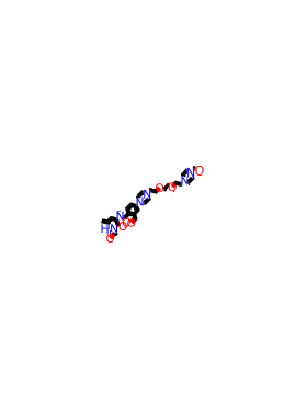 CCCC(C(=O)NC=O)N(C)C(=O)c1ccc(N2CCN(CCOCCOCCN3CCN(C=O)CC3)CC2)cc1C=O